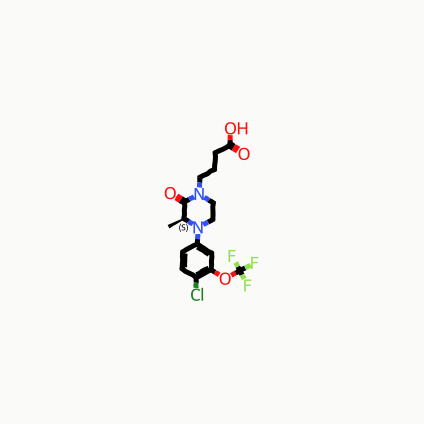 C[C@H]1C(=O)N(CCCC(=O)O)CCN1c1ccc(Cl)c(OC(F)(F)F)c1